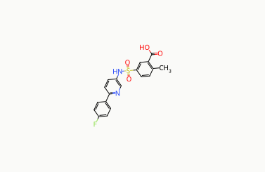 Cc1ccc(S(=O)(=O)Nc2ccc(-c3ccc(F)cc3)nc2)cc1C(=O)O